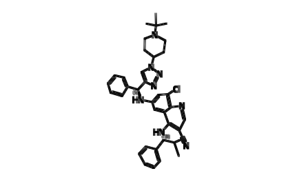 CC(C)[C@@H](Nc1c(C#N)cnc2c(Cl)cc(N[C@@H](c3ccccc3)c3cn(C4CCN(C(C)(C)C)CC4)nn3)cc12)c1ccccc1